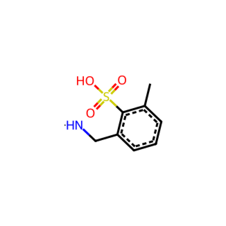 Cc1cccc(C[NH])c1S(=O)(=O)O